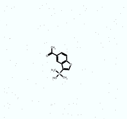 CC(=O)c1ccc2occ([Si](C)(C)O)c2c1